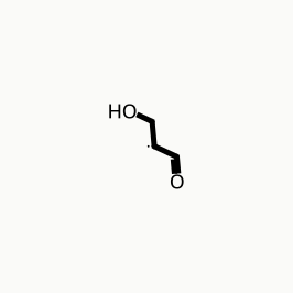 O=C[CH]CO